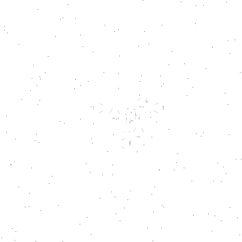 c1ccc2c(c1)oc1c(-c3nc(-c4ccc5c(c4)C4(CCCCC4)c4cc(C67CC8CC(CC(C8)C6)C7)ccc4-5)nc(-c4cccc5c4oc4ccccc45)n3)cccc12